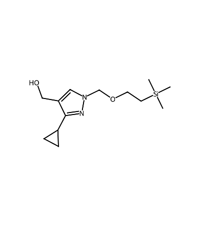 C[Si](C)(C)CCOCn1cc(CO)c(C2CC2)n1